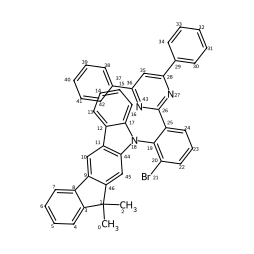 CC1(C)c2ccccc2-c2cc3c4ccccc4n(-c4c(Br)cccc4-c4nc(-c5ccccc5)cc(-c5ccccc5)n4)c3cc21